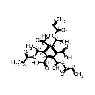 C=CC(=O)OC(C)c1c(C(=O)O)c(C(C)OC(=O)C=C)c(C(=O)O)c(C(C)OC(=O)C=C)c1C(=O)O